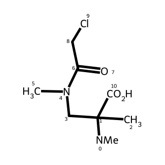 CNC(C)(CN(C)C(=O)CCl)C(=O)O